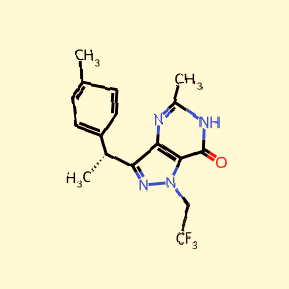 Cc1ccc([C@@H](C)c2nn(CC(F)(F)F)c3c(=O)[nH]c(C)nc23)cc1